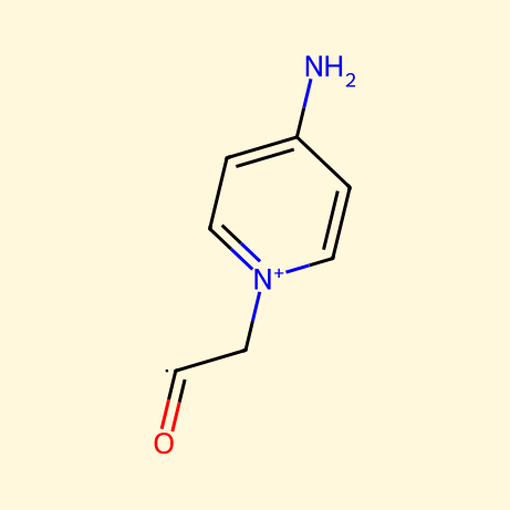 Nc1cc[n+](C[C]=O)cc1